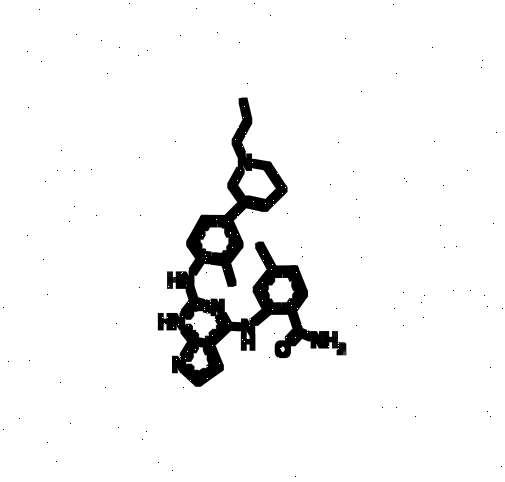 CCCN1CCC=C(c2ccc(Nc3nc(Nc4cc(C)ccc4C(N)=O)c4ccnc-4[nH]3)c(C)c2)C1